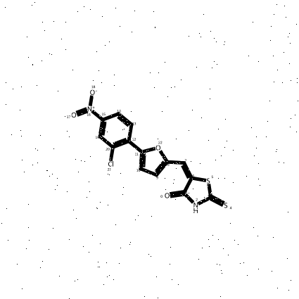 O=C1NC(=S)SC1=Cc1ccc(-c2ccc([N+](=O)[O-])cc2Cl)o1